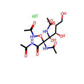 CC(=O)NO[C@@](NC(C)=O)(C(=O)NC(C)=O)[C@](O)(NC(C)=O)[C@H](O)[C@H](O)CO.Cl